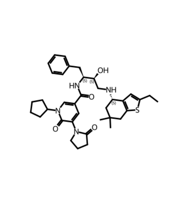 CCc1cc2c(s1)CC(C)(C)C[C@@H]2NC[C@H](O)[C@H](Cc1ccccc1)NC(=O)c1cc(N2CCCC2=O)c(=O)n(C2CCCC2)c1